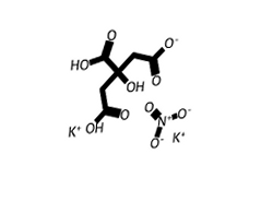 O=C([O-])CC(O)(CC(=O)O)C(=O)O.O=[N+]([O-])[O-].[K+].[K+]